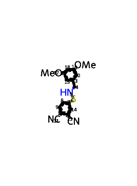 COc1cc(CNSc2ccc(C#N)c(C#N)c2)cc(OC)c1